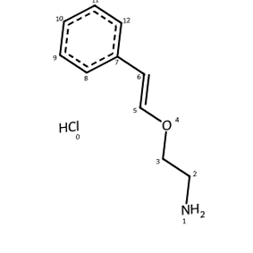 Cl.NCCOC=Cc1ccccc1